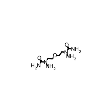 NC(=O)N(N)CCOCCN(N)C(N)=O